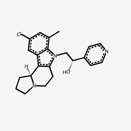 Cc1cc(Cl)cc2c3c(n(C[C@@H](O)c4ccncc4)c12)CCN1CCC[C@@H]31